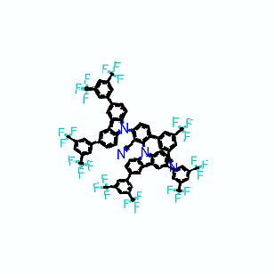 N#Cc1cc(-c2ccc(-n3c4ccc(-c5cc(C(F)(F)F)cc(C(F)(F)F)c5)cc4c4cc(-c5cc(C(F)(F)F)cc(C(F)(F)F)c5)ccc43)c(C#N)c2-n2c3ccc(-c4cc(C(F)(F)F)cc(C(F)(F)F)c4)cc3c3cc(-c4cc(C(F)(F)F)cc(C(F)(F)F)c4)ccc32)cc(C(F)(F)F)c1